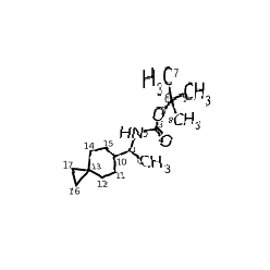 CC(NC(=O)OC(C)(C)C)C1CCC2(CC1)CC2